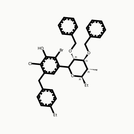 CCc1ccc(Cc2cc(C3O[C@H](CC)[C@@H](C)[C@H](OCc4ccccc4)[C@H]3OCc3ccccc3)c(Br)c(O)c2Cl)cc1